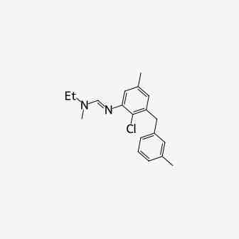 CCN(C)C=Nc1cc(C)cc(Cc2cccc(C)c2)c1Cl